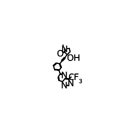 CN1CCC(O)(C#Cc2cccc(-c3ccc4ncnc(C(F)(F)F)c4n3)c2)C1=O